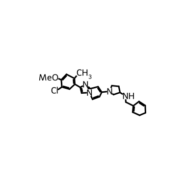 COc1cc(C)c(-c2cn3ccc(N4CCC(NCC5=CCCC=C5)C4)cc3n2)cc1Cl